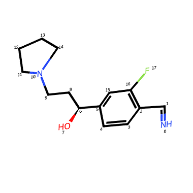 N=Cc1ccc([C@@H](O)CCN2CCCC2)cc1F